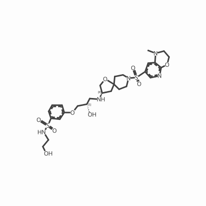 CN1CCOc2ncc(S(=O)(=O)N3CCC4(CC3)C[C@@H](NC[C@H](O)COc3cccc(S(=O)(=O)NCCO)c3)CO4)cc21